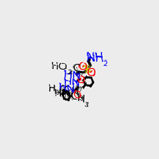 CC1(C)[C@@H]2CC[C@@]1(C)[C@@H](NC(=O)[C@@H](CC1CCCCC1)NC(=O)N[C@@H](CS(=O)(=O)CCN)C(=O)O)C2